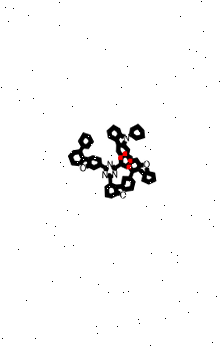 c1ccc(-c2nc(-c3ccc4c(c3)oc3cccc(-c5ccccc5)c34)nc(-c3cccc4oc5ccc(-c6cc(-c7ccc8c9ccccc9n(-c9ccccc9)c8c7)cc7oc8ccccc8c67)cc5c34)n2)cc1